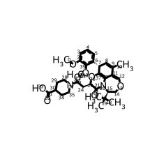 COc1cccc([C@@H]2C=C(C)C3=COC[C@@H](C(C)(C)C)N4C(=O)[C@@H](CC(=O)N5CCC(C(=O)O)CC5)OC2=C34)c1OC